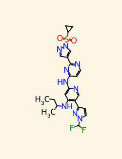 CCC(C)Nc1cc(Nc2ccnc(-c3cnn(S(=O)(=O)C4CC4)c3)n2)ncc1-c1ccn(C(F)F)n1